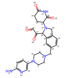 Nc1ccc(N2CCN(Cc3ccc4c(c3)C(C(=O)C=O)N(C3CCC(=O)NC3=O)C4)CC2)cn1